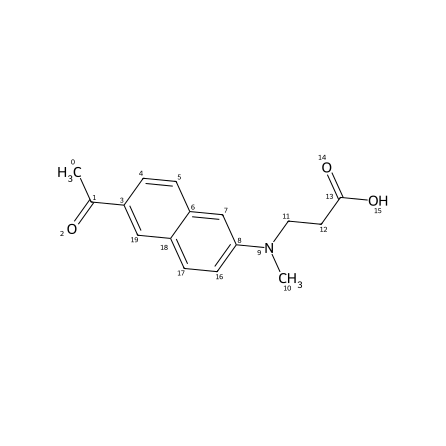 CC(=O)c1ccc2cc(N(C)CCC(=O)O)ccc2c1